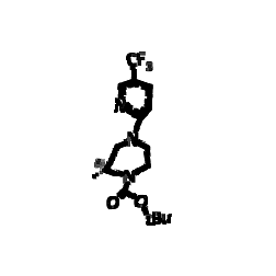 C[C@@H]1CN(c2ccc(C(F)(F)F)cn2)CCN1C(=O)OC(C)(C)C